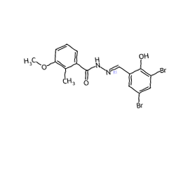 COc1cccc(C(=O)N/N=C/c2cc(Br)cc(Br)c2O)c1C